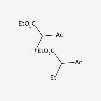 CCOC(=O)C(CC)C(C)=O.CCOC(=O)C(CC)C(C)=O